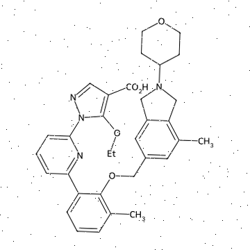 CCOc1c(C(=O)O)cnn1-c1cccc(-c2cccc(C)c2OCc2cc(C)c3c(c2)CN(C2CCOCC2)C3)n1